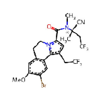 COc1cc2c(cc1Br)-c1c(CC(F)(F)F)cc(C(=O)N(C)[C@](C)(C#N)CC(F)(F)F)n1CC2